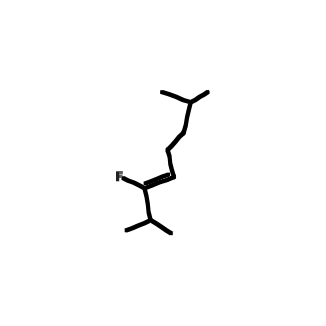 CC(C)CC/C=C(\F)C(C)C